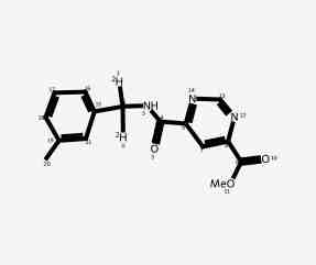 [2H]C([2H])(NC(=O)c1cc(C(=O)OC)ncn1)c1cccc(C)c1